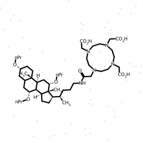 CCCO[C@@H]1CC[C@@]2(C)C(C1)C[C@@H](OCCC)C1[C@@H]3CC[C@H]([C@H](C)CCCNC(=O)CN4CCN(CC(=O)O)CCN(CC(=O)O)CCN(CC(=O)O)CC4)[C@@]3(C)[C@@H](OCCC)C[C@@H]12